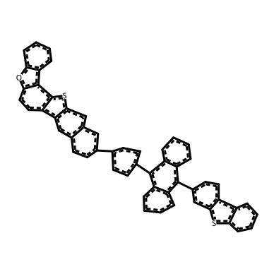 c1ccc2c(c1)oc1ccc3c4cc5ccc(-c6ccc(-c7c8ccccc8c(-c8ccc9c(c8)sc8ccccc89)c8ccccc78)cc6)cc5cc4sc3c12